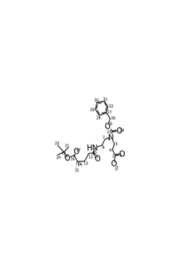 COC(=O)CCN(CCNC(=O)CC[C@H](C)C(=O)OC(C)(C)C)C(=O)OCc1ccccc1